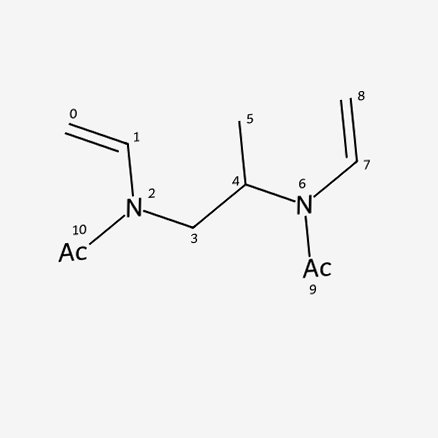 C=CN(CC(C)N(C=C)C(C)=O)C(C)=O